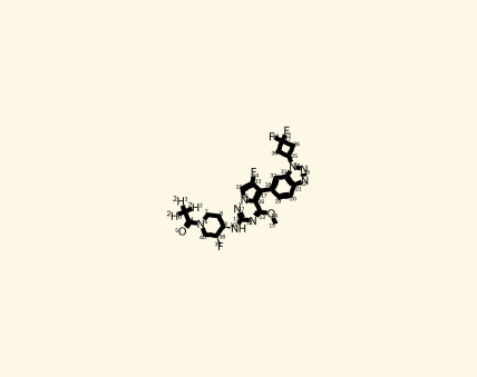 [2H]C([2H])([2H])C(=O)N1CC[C@H](Nc2nc(OC)c3c(-c4ccc5nnn(C6CC(F)(F)C6)c5c4)c(F)cn3n2)[C@H](F)C1